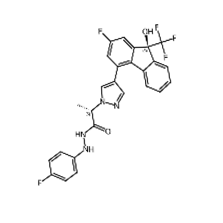 C[C@@H](C(=O)NNc1ccc(F)cc1)n1cc(-c2cc(F)cc3c2-c2ccccc2[C@@]3(O)C(F)(F)F)cn1